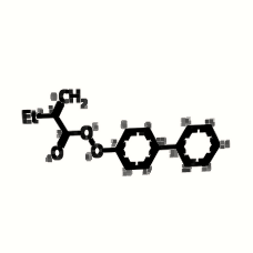 C=C(CC)C(=O)OOc1ccc(-c2ccccc2)cc1